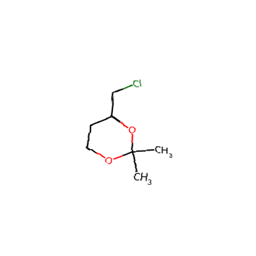 CC1(C)OCCC(CCl)O1